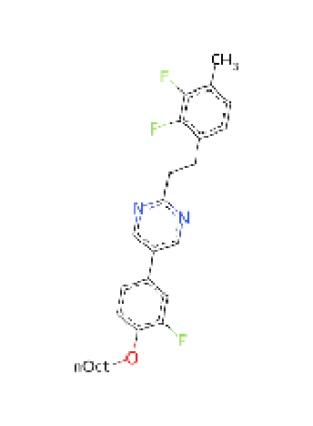 CCCCCCCCOc1ccc(-c2cnc(CCc3ccc(C)c(F)c3F)nc2)cc1F